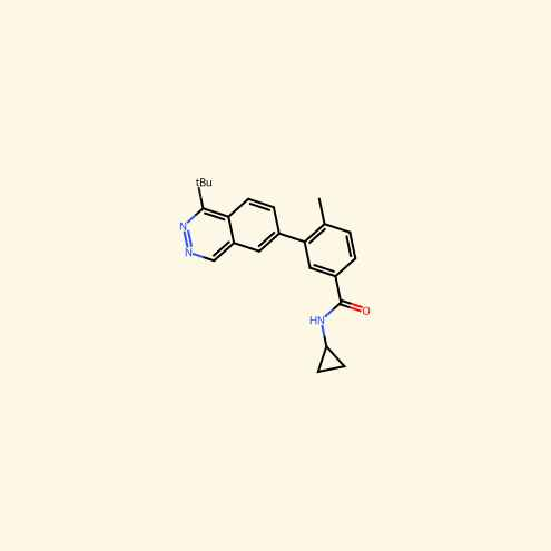 Cc1ccc(C(=O)NC2CC2)cc1-c1ccc2c(C(C)(C)C)nncc2c1